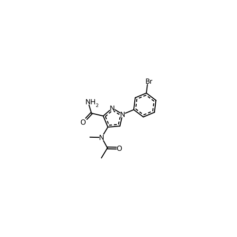 CC(=O)N(C)c1cn(-c2cccc(Br)c2)nc1C(N)=O